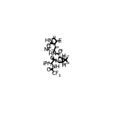 CC(C)[C@H](NC(=O)C(F)(F)F)C(=O)N1C[C@H]2[C@@H]([C@H]1C(=O)N[C@H](C#N)C[C@H]1C(=O)NC[C@@H]1F)C2(C)C